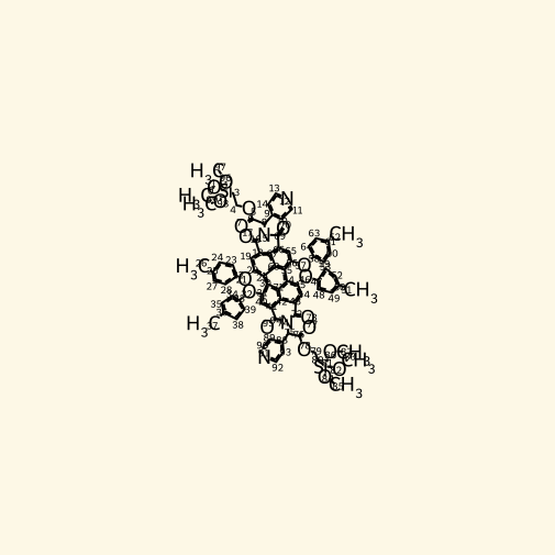 CO[Si](CCOC(=O)C(c1ccncc1)N1C(=O)c2cc(Oc3ccc(C)cc3)c3c4c(Oc5ccc(C)cc5)cc5c6c(cc(Oc7ccc(C)cc7)c(c7c(Oc8ccc(C)cc8)cc(c2c37)C1=O)c64)C(=O)N(C(C(=O)OCC[Si](OC)(OC)OC)c1ccncc1)C5=O)(OC)OC